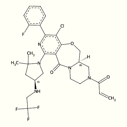 C=CC(=O)N1CCN2C(=O)c3c(N4C[C@@H](NCC(F)(F)F)CC4(C)C)nc(-c4ccccc4F)c(Cl)c3OC[C@H]2C1